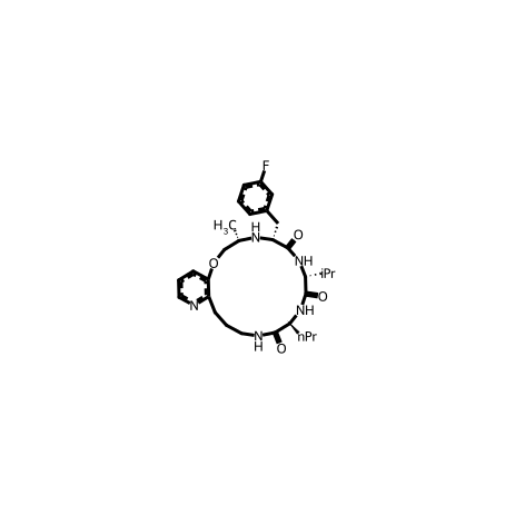 CCC[C@@H]1NC(=O)[C@@H](C(C)C)NC(=O)[C@@H](Cc2cccc(F)c2)N[C@@H](C)COc2cccnc2CCCNC1=O